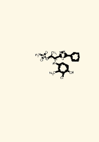 Cc1c(N[C@@H](c2nnc(-c3ccccc3)o2)[C@H](C)OS(N)(=O)=O)ccc(C#N)c1Cl